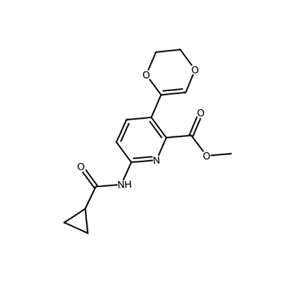 COC(=O)c1nc(NC(=O)C2CC2)ccc1C1=COCCO1